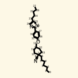 CCCCCCCC1(C#N)CCC(COc2ccc(-c3ncc(CCCCC)cn3)cc2)CC1